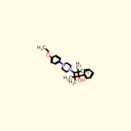 CCOc1ccc(N2CCN(C3C(C)(C)C(O)(c4ccccc4)C3(C)C)CC2)cc1